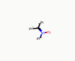 CC(C)C(C(C)C)=[N+]([O-])C(C)C